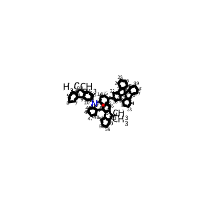 CC1(C)c2ccccc2-c2cc(N(c3ccc(-c4ccc5c(c4)-c4ccccc4C54c5ccccc5-c5ccccc54)cc3)c3ccccc3-c3cccc4c3-c3ccccc3C4(C)C)ccc21